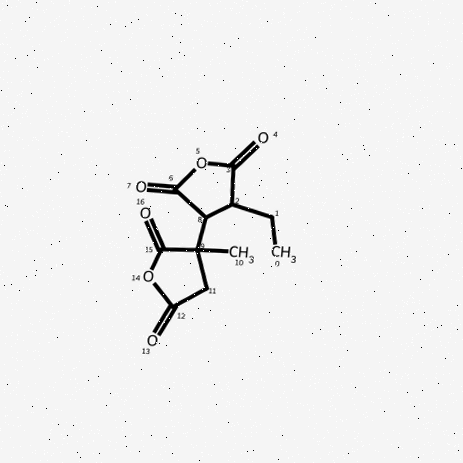 CCC1C(=O)OC(=O)C1C1(C)CC(=O)OC1=O